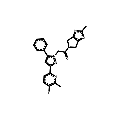 Cc1nc2c(o1)CN(C(=O)Cn1nc(-c3ccc(F)c(C)n3)cc1-c1ccccc1)C2